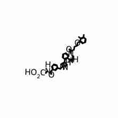 Cc1cccc(OCCCC(=O)N2C[C@@H]3C[C@@H]3c3c(-c4cnn(Cc5cccc(C(=O)NCC(=O)O)c5)c4)cccc32)c1C